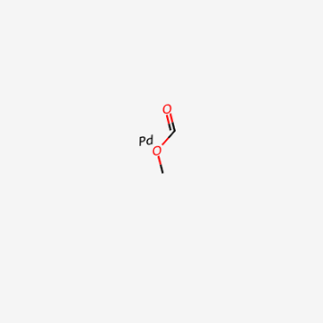 COC=O.[Pd]